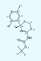 CC(C)(C)OC(=O)NC1=N[C@](C)(c2cc(I)ccc2F)CCS1